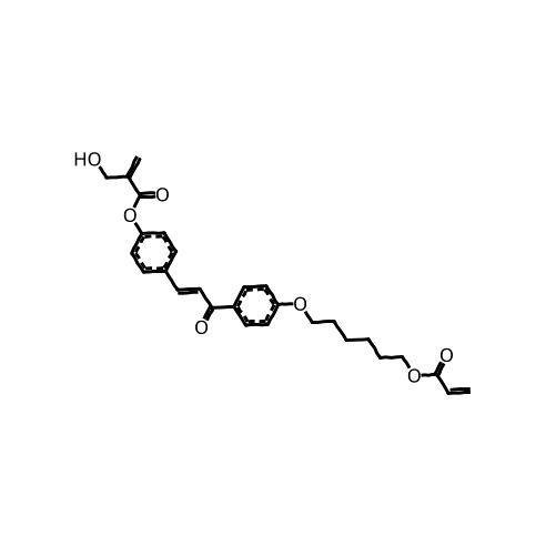 C=CC(=O)OCCCCCCOc1ccc(C(=O)/C=C/c2ccc(OC(=O)C(=C)CO)cc2)cc1